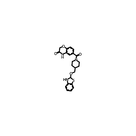 O=C1COc2ccc(C(=O)N3CCC(COC4Nc5ccccc5S4)CC3)cc2N1